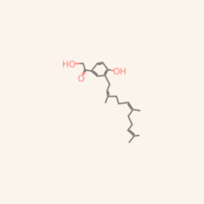 CC(C)=CCCC(C)=CCCC(C)=CCc1cc(C(=O)CO)ccc1O